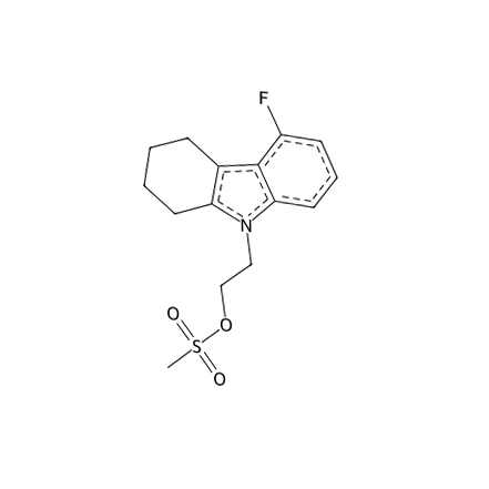 CS(=O)(=O)OCCn1c2c(c3c(F)cccc31)CCCC2